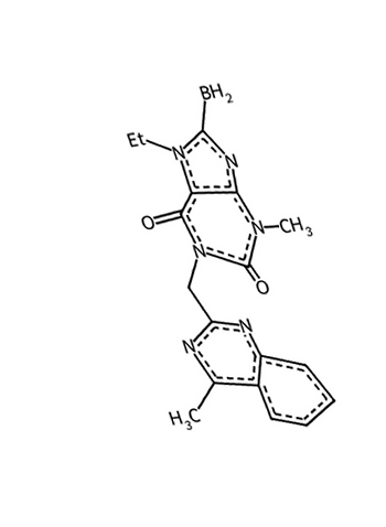 Bc1nc2c(c(=O)n(Cc3nc(C)c4ccccc4n3)c(=O)n2C)n1CC